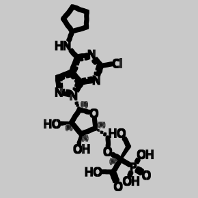 O=C(O)[C@](CO)(OC[C@H]1O[C@@H](n2ncc3c(NC4CCCC4)nc(Cl)nc32)[C@H](O)[C@@H]1O)P(=O)(O)O